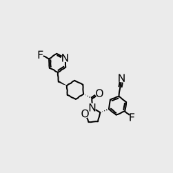 N#Cc1cc(F)cc([C@@H]2CCON2C(=O)[C@H]2CC[C@H](Cc3cncc(F)c3)CC2)c1